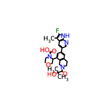 Cc1c(F)[nH]c2ncc(-c3cc4c(c(C5COCCN5C(=O)O)c3)CN(C(=O)C(C)(C)O)CC4)cc12